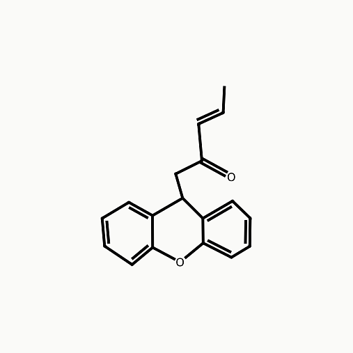 CC=CC(=O)CC1c2ccccc2Oc2ccccc21